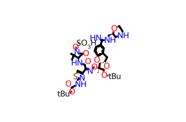 CC(C)(C)OC(=O)Nc1nc(/C(=N/O[C@](C)(C(=O)OC(C)(C)C)[C@H]2CCc3cc(C(=N)NC[C@@H]4CNCCO4)ccc3O2)C(=O)N[C@@H]2C(=O)N(OS(=O)(=O)O)C2(C)C)cs1